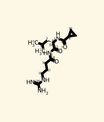 CC(C)C[C@H](NC(=O)C1CC1)C(=O)NC(=O)CCCNC(=N)N